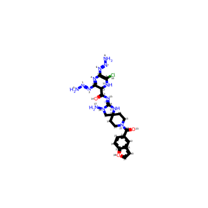 NN=NC1=NC(N=NN)=C(Cl)NC1C(=O)/N=C1/NC2(CCN(C(=O)c3ccc4occc4c3)CC2)CN1N